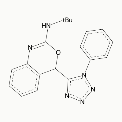 CC(C)(C)NC1=Nc2ccccc2C(c2nnnn2-c2ccccc2)O1